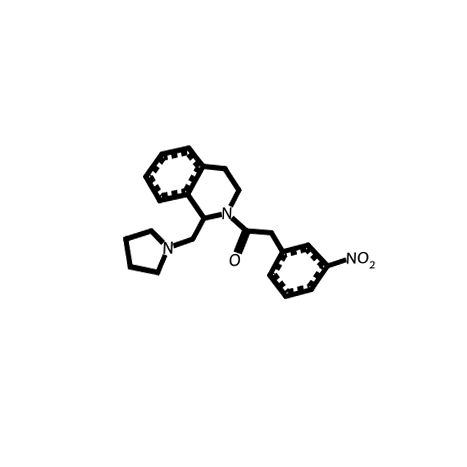 O=C(Cc1cccc([N+](=O)[O-])c1)N1CCc2ccccc2C1CN1CCCC1